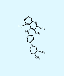 Cc1nc2cccc(C)c2c(Nc2ccc(N3CCN(C)C(C)C3)cc2)c1C